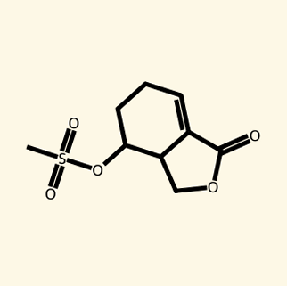 CS(=O)(=O)OC1CCC=C2C(=O)OCC21